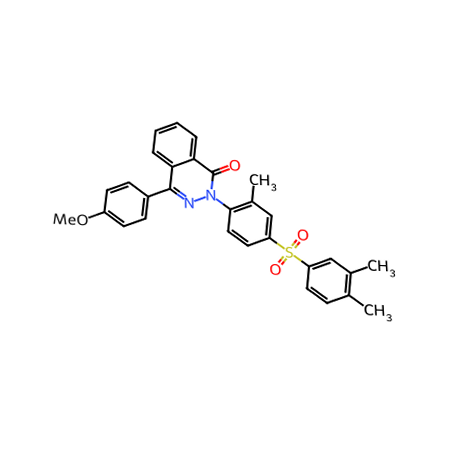 COc1ccc(-c2nn(-c3ccc(S(=O)(=O)c4ccc(C)c(C)c4)cc3C)c(=O)c3ccccc23)cc1